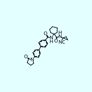 N#CC1(NC(=O)C2(NC(=O)c3ccc(-c4ccc(N5CCCC5=O)cc4)cc3)CCCCC2)CC1